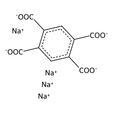 O=C([O-])c1cc(C(=O)[O-])c(C(=O)[O-])cc1C(=O)[O-].[Na+].[Na+].[Na+].[Na+]